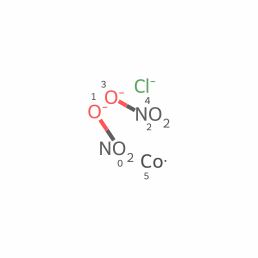 O=[N+]([O-])[O-].O=[N+]([O-])[O-].[Cl-].[Co]